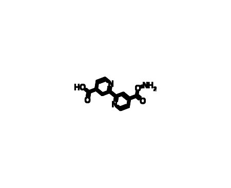 NOC(=O)c1ccnc(C2=NC=CC(C(=O)O)C2)c1